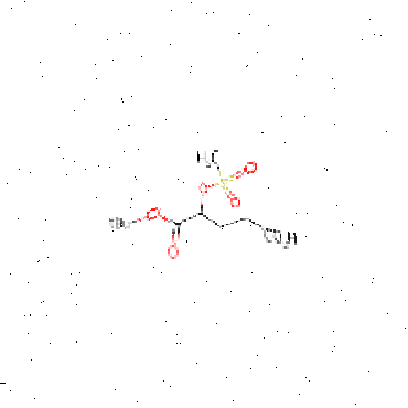 CC(C)(C)OC(=O)C(CCC(=O)O)OS(C)(=O)=O